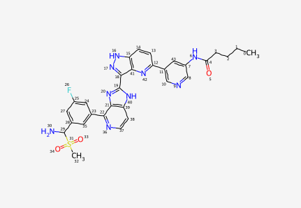 CCCCC(=O)Nc1cncc(-c2ccc3[nH]nc(-c4nc5c(-c6cc(F)cc(C(N)S(C)(=O)=O)c6)nccc5[nH]4)c3n2)c1